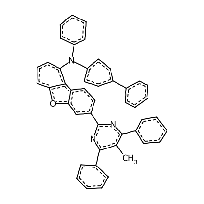 Cc1c(-c2ccccc2)nc(-c2ccc3c(c2)oc2cccc(N(c4ccccc4)c4ccc(-c5ccccc5)cc4)c23)nc1-c1ccccc1